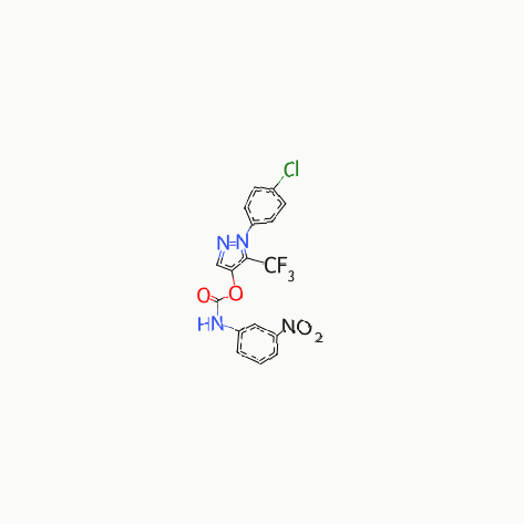 O=C(Nc1cccc([N+](=O)[O-])c1)Oc1cnn(-c2ccc(Cl)cc2)c1C(F)(F)F